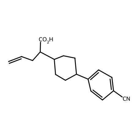 C=CCC(C(=O)O)C1CCC(c2ccc(C#N)cc2)CC1